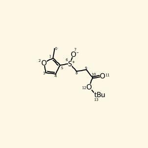 Cc1occc1[S+]([O-])CCC(=O)OC(C)(C)C